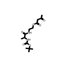 CC(=O)CC(=O)OCCNC(=O)C(C)NC(=O)OC(C)(C)C